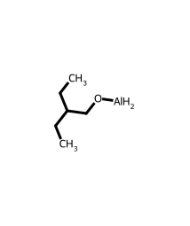 CCC(CC)C[O][AlH2]